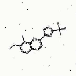 COc1ccc2[c]cc(-c3csc(C(F)(F)F)n3)nc2c1C